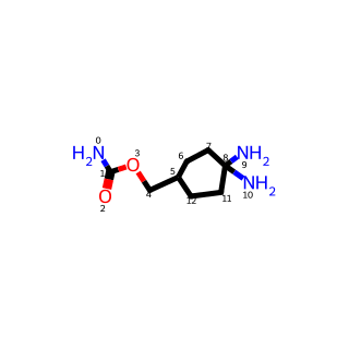 NC(=O)OCC1CCC(N)(N)CC1